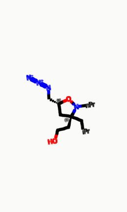 CCCN1O[C@@H](CN=[N+]=[N-])C[C@@]1(CCO)CC(C)C